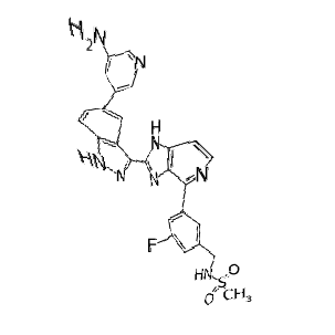 CS(=O)(=O)NCc1cc(F)cc(-c2nccc3[nH]c(-c4n[nH]c5ccc(-c6cncc(N)c6)cc45)nc23)c1